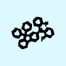 Fc1ccccc1N(c1ccc2c(c1)C(c1ccccc1)(c1ccccc1)c1ccccc1-2)c1ccccc1F